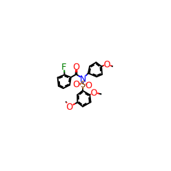 COc1ccc(N(C(=O)c2ccccc2F)S(=O)(=O)c2cc(OC)ccc2OC)cc1